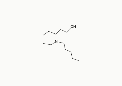 CCCCCN1CCCCC1CCO